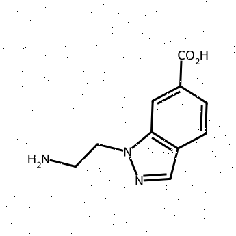 NCCn1ncc2ccc(C(=O)O)cc21